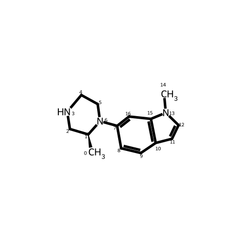 C[C@H]1CNCCN1c1ccc2ccn(C)c2c1